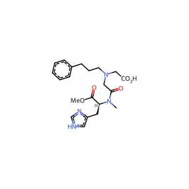 COC(=O)[C@H](Cc1c[nH]cn1)N(C)C(=O)CN(CCCc1ccccc1)CC(=O)O